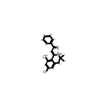 CC1(C)Cc2cc(Cl)cc(Cl)c2/C(=C/C(=O)c2ccccc2)N1